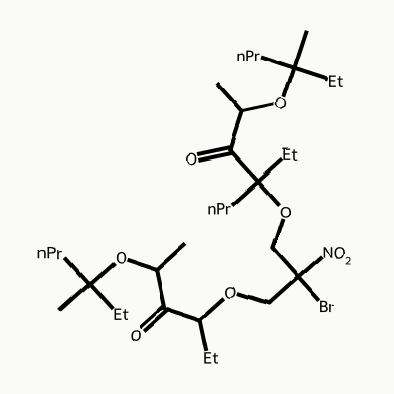 CCCC(C)(CC)OC(C)C(=O)C(CC)OCC(Br)(COC(CC)(CCC)C(=O)C(C)OC(C)(CC)CCC)[N+](=O)[O-]